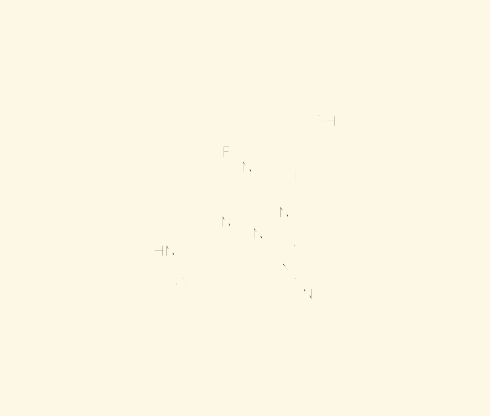 CCc1c(F)ccc2cc(O)cc(-c3ncc4c(N5CCC6(CNC(=O)O6)C5)nc(OC[C@@]56CCCN5C[C@H](C)C6)nc4c3F)c12